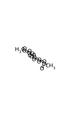 CCCCC(OCC1CCC2OC2C1)Oc1ccc(C(=O)Oc2ccc(C(=O)OCC3OCOC4C(COC(=O)c5ccc(OC(C)=O)cc5)OCOC34)cc2)cc1